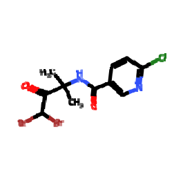 CC(C)(NC(=O)c1ccc(Cl)nc1)C(=O)C(Br)Br